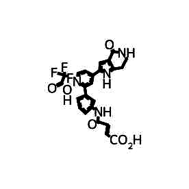 O=C(O)C(F)(F)F.O=C(O)C=CC(=O)Nc1cccc(-c2cc(-c3cc4c([nH]3)CCNC4=O)ccn2)c1